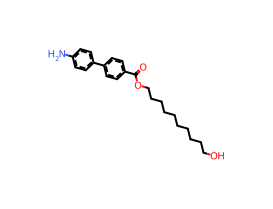 Nc1ccc(-c2ccc(C(=O)OCCCCCCCCCCO)cc2)cc1